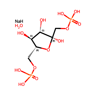 O.O=P(O)(O)OC[C@H]1O[C@](O)(COP(=O)(O)O)[C@@H](O)[C@@H]1O.[NaH]